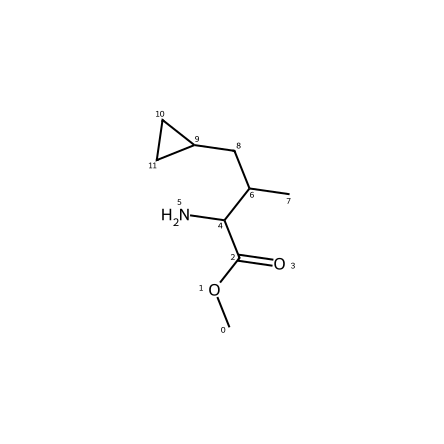 COC(=O)C(N)C(C)CC1CC1